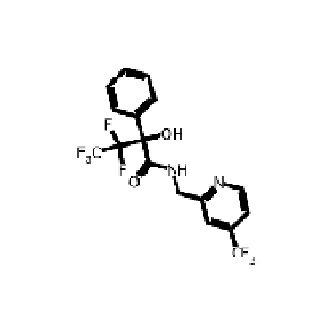 O=C(NCc1cc(C(F)(F)F)ccn1)C(O)(c1ccccc1)C(F)(F)C(F)(F)F